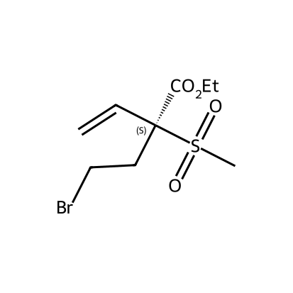 C=C[C@@](CCBr)(C(=O)OCC)S(C)(=O)=O